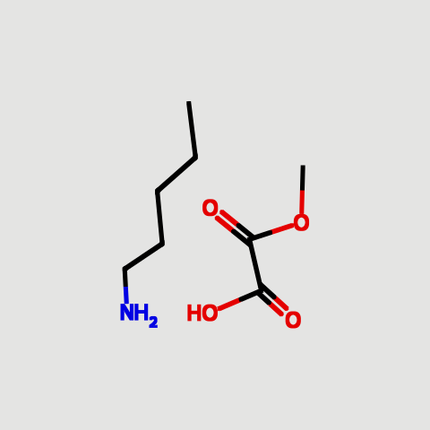 CCCCCN.COC(=O)C(=O)O